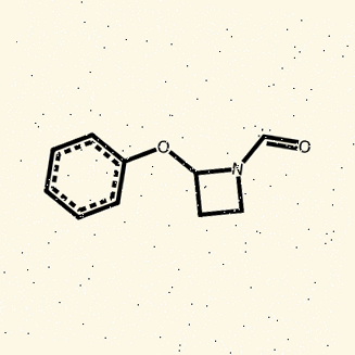 O=[C]N1CCC1Oc1ccccc1